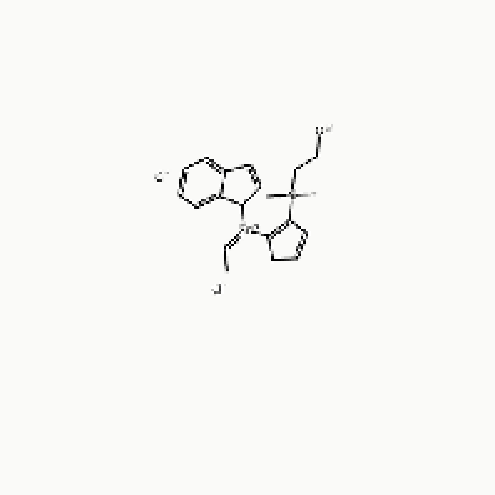 C[CH]=[Zr+2]([C]1=C([Si](C)(C)CCO)C=CC1)[CH]1C=Cc2ccccc21.[Cl-].[Cl-]